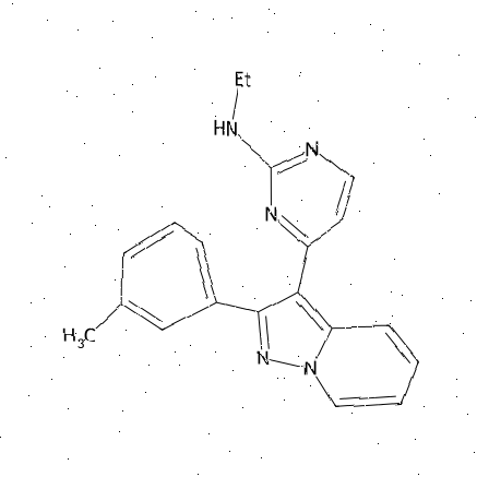 CCNc1nccc(-c2c(-c3cccc(C)c3)nn3ccccc23)n1